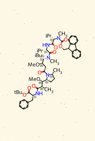 CC[C@H](C)[C@@H]([C@@H](CC(=O)N1[C@@H](C)CC[C@H]1[C@H](OC)[C@@H](C)C(=O)N[C@@H](Cc1ccccc1)C(=O)OC(C)(C)C)OC)N(C)C(=O)[C@@H](NC(=O)[C@H](C(C)C)N(C)C(=O)OCC1c2ccccc2-c2ccccc21)C(C)C